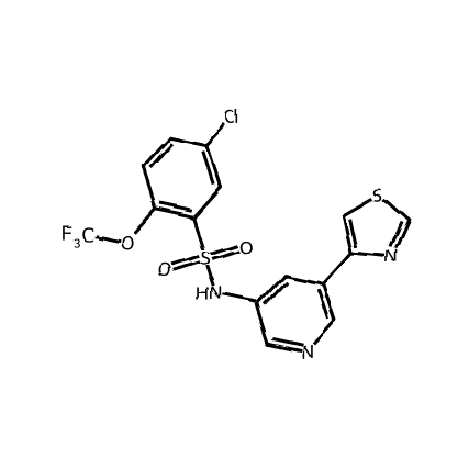 O=S(=O)(Nc1cncc(-c2cscn2)c1)c1cc(Cl)ccc1OC(F)(F)F